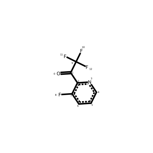 O=C(c1ncccc1F)C(F)(F)F